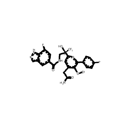 CCOc1c(CC(N)=O)cc([C@@](O)(CNC(=O)c2cc(F)c3[nH]ncc3c2)C(F)(F)F)nc1-c1ccc(F)cc1